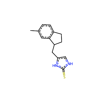 Cc1ccc2c(c1)C(Cc1c[nH]c(=S)[nH]1)CC2